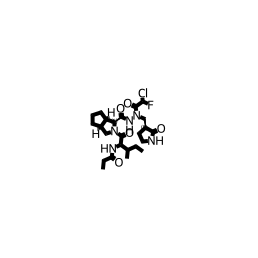 CCC(=O)NC(C(=O)N1C[C@@H]2CCC[C@@H]2[C@H]1C(=O)NN(C[C@@H]1CCNC1=O)C(=O)C(F)Cl)C(C)CC